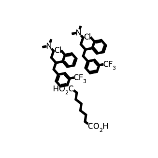 CN(C)CCC(Cc1cccc(C(F)(F)F)c1)c1ccccc1Cl.CN(C)CCC(Cc1cccc(C(F)(F)F)c1)c1ccccc1Cl.O=C(O)CCCCCCC(=O)O